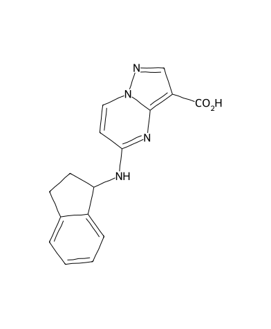 O=C(O)c1cnn2ccc(NC3CCc4ccccc43)nc12